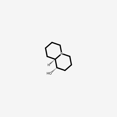 O[C@H]1CCCN2CCCC[C@H]12